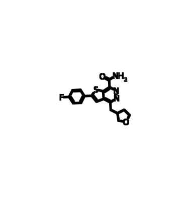 NC(=O)c1nnc(CC2CCOC2)c2cc(-c3ccc(F)cc3)sc12